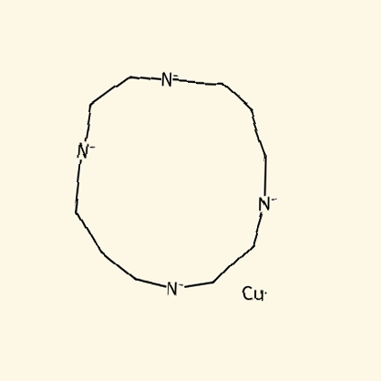 C1C[N-]CC[N-]CCC[N-]CC[N-]C1.[Cu]